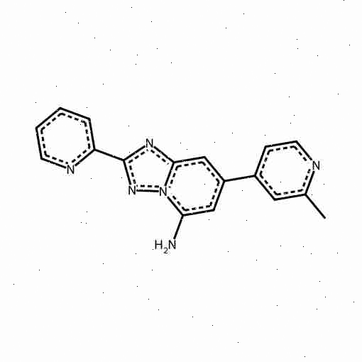 Cc1cc(-c2cc(N)n3nc(-c4ccccn4)nc3c2)ccn1